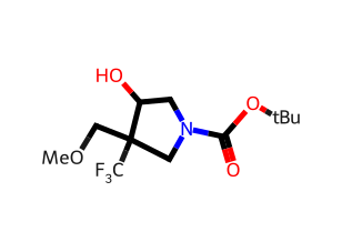 COCC1(C(F)(F)F)CN(C(=O)OC(C)(C)C)CC1O